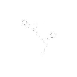 CCC(O)CCCC1CC(CCCC(O)CC2CC(C)OC(c3ccccc3O)O2)OC(c2ccccc2O)O1